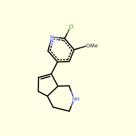 COc1cc(C2=CCC3CCNCC23)cnc1Cl